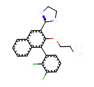 COCCOc1c(C2=NCCN2)cc2ccccc2c1-c1cccc(Cl)c1Cl.Cl